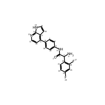 NC(C(=O)Nc1ccc(-c2ccnc3[nH]ccc23)cc1)c1ccc(F)cc1F